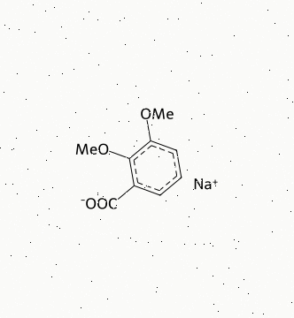 COc1cccc(C(=O)[O-])c1OC.[Na+]